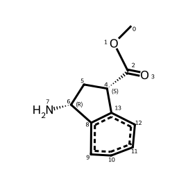 COC(=O)[C@H]1C[C@@H](N)c2ccccc21